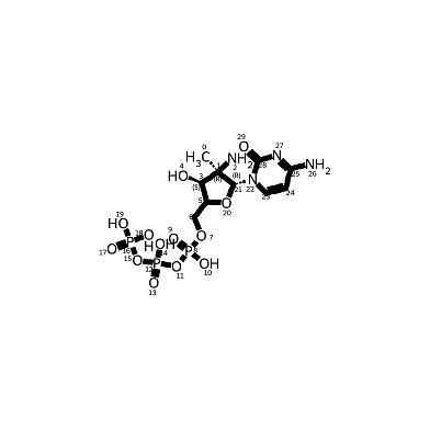 C[C@@]1(N)[C@H](O)C(COP(=O)(O)OP(=O)(O)OP(=O)(O)O)O[C@H]1n1ccc(N)nc1=O